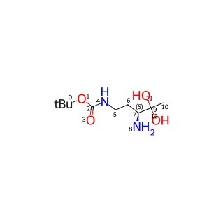 CC(C)(C)OC(=O)NCC[C@H](N)C(C)(O)O